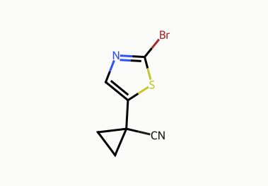 N#CC1(c2cnc(Br)s2)CC1